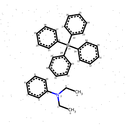 CCN(CC)c1ccccc1.c1ccc([B-](c2ccccc2)(c2ccccc2)c2ccccc2)cc1